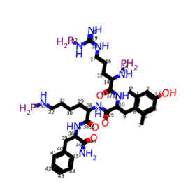 Cc1cc(O)cc(C)c1CC(NC(=O)C(CCCNC(=N)NP)NP)C(=O)NC(CCCCNP)C(=O)NC(Cc1cc#ccc1)C(N)=O